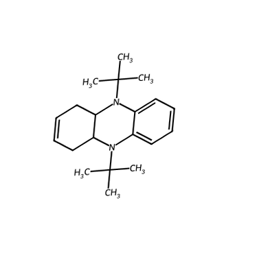 CC(C)(C)N1c2ccccc2N(C(C)(C)C)C2CC=CCC21